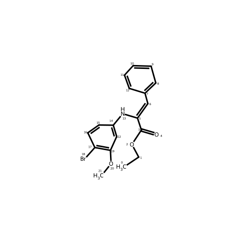 CCOC(=O)C(=Cc1ccccc1)Nc1ccc(Br)c(OC)c1